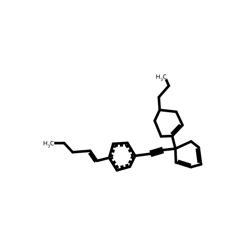 CCCC=Cc1ccc(C#CC2(C3=CCC(CCC)CC3)C=CC=CC2)cc1